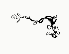 N#C[C@@H]1CCCN1C(=O)CNC(=O)c1ccnc2ccc(-c3ccc(C(=O)NCCCNCC(=O)O)cc3)cc12